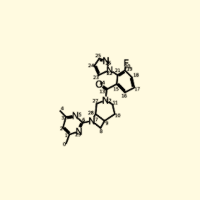 Cc1cc(C)nc(N2CC3CCN(C(=O)c4cccc(F)c4-n4cccn4)CC32)n1